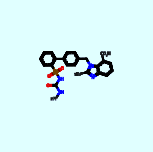 CCCCc1nc2cccc(C(=O)O)c2n1Cc1ccc(-c2ccccc2S(=O)(=O)NC(=O)NCCC)cc1